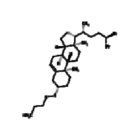 CC[C@H](CC[C@@H](C)[C@H]1CC[C@H]2[C@@H]3CC=C4C[C@@H](SSCCC(=O)O)CC[C@]4(C)[C@H]3CC[C@]12C)C(C)C